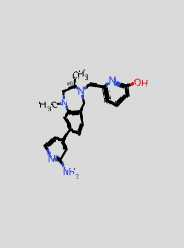 C[C@@H]1CN(C)c2cc(-c3ccnc(N)c3)ccc2CN1Cc1cccc(O)n1